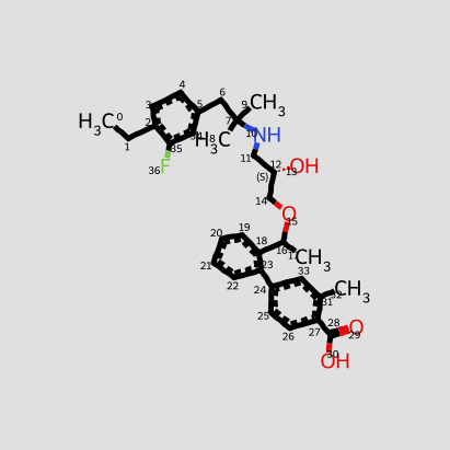 CCc1ccc(CC(C)(C)NC[C@H](O)COC(C)c2ccccc2-c2ccc(C(=O)O)c(C)c2)cc1F